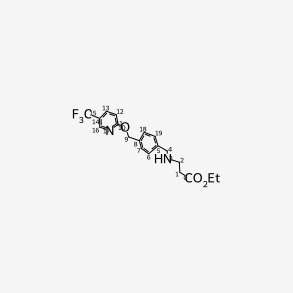 CCOC(=O)CCNCc1ccc(COc2ccc(C(F)(F)F)cn2)cc1